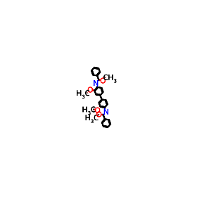 COC(=Nc1ccc(-c2ccc(N=C(OC)c3ccccc3)c(OC)c2)cc1OC)c1ccccc1